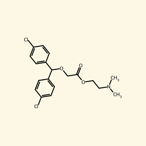 CN(C)CCOC(=O)COC(c1ccc(Cl)cc1)c1ccc(Cl)cc1